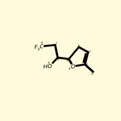 CC1=CCC(C(O)CC(F)(F)F)O1